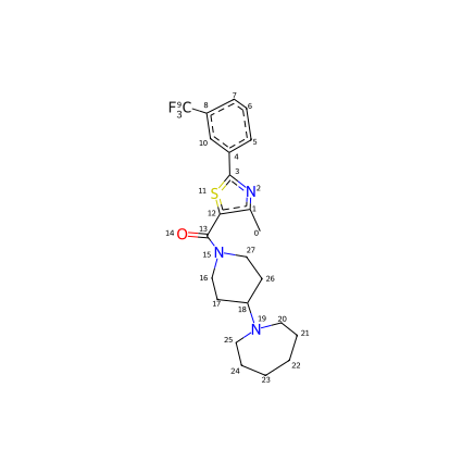 Cc1nc(-c2cccc(C(F)(F)F)c2)sc1C(=O)N1CCC(N2CCCCCC2)CC1